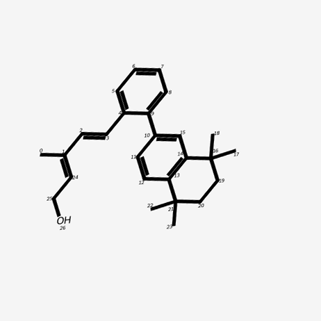 CC(C=Cc1ccccc1-c1ccc2c(c1)C(C)(C)CCC2(C)C)=CCO